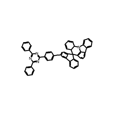 C1=CC2C(C=C1)C1(c3ccccc3-c3cc(-c4ccc(-c5nc(-c6ccccc6)nc(-c6ccccc6)n5)cc4)ccc31)c1cccc3c4ccccc4n2c13